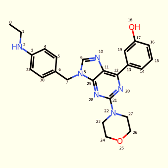 CCNc1ccc(Cn2cnc3c(-c4cccc(O)c4)nc(N4CCOCC4)nc32)cc1